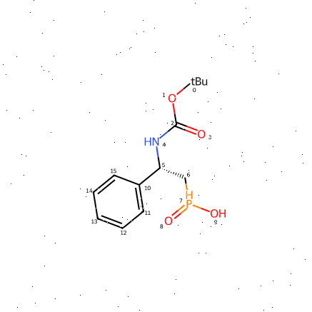 CC(C)(C)OC(=O)N[C@H](C[PH](=O)O)c1ccccc1